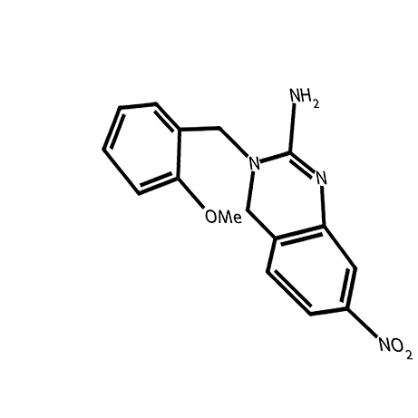 COc1ccccc1CN1Cc2ccc([N+](=O)[O-])cc2N=C1N